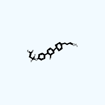 C=CCCc1ccc(-c2ccc(-c3ccc(OC(F)(F)C=C(F)F)cc3)c(F)c2)cc1